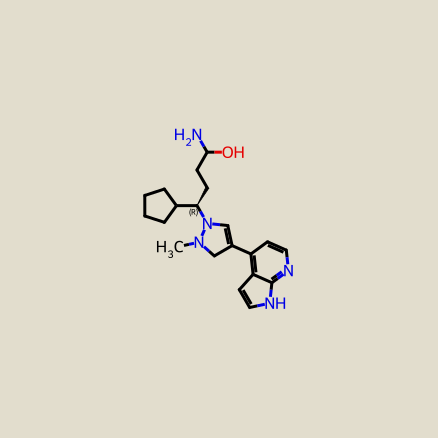 CN1CC(c2ccnc3[nH]ccc23)=CN1[C@H](CCC(N)O)C1CCCC1